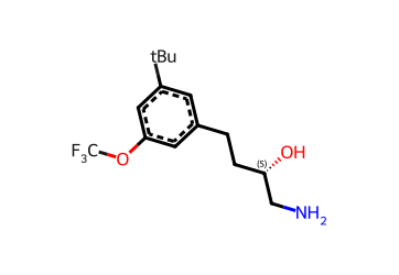 CC(C)(C)c1cc(CC[C@H](O)CN)cc(OC(F)(F)F)c1